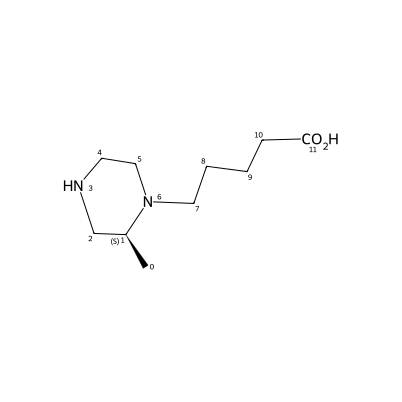 C[C@H]1CNCCN1CCCCC(=O)O